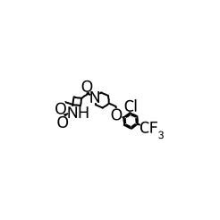 O=C1NC2(CO1)CC(C(=O)N1CCC(COc3ccc(C(F)(F)F)cc3Cl)CC1)C2